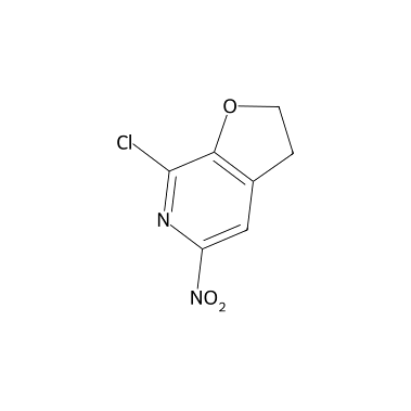 O=[N+]([O-])c1cc2c(c(Cl)n1)OCC2